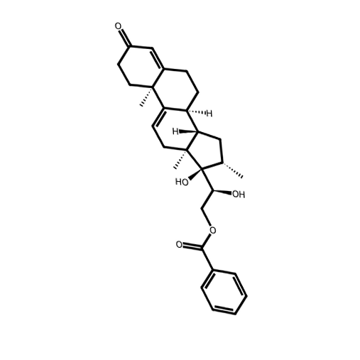 C[C@H]1C[C@H]2[C@@H]3CCC4=CC(=O)CC[C@]4(C)C3=CC[C@]2(C)[C@@]1(O)[C@@H](O)COC(=O)c1ccccc1